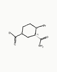 CCC(=O)N1CCN(C(C)C)[C@H](C(N)=O)C1